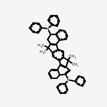 CC1(C)C2=C(C3=CC=CCC3C(N(c3ccccc3)c3ccccc3)=C2)c2cc3c(cc21)C1=C(CC(N(c2ccccc2)c2ccccc2)c2ccccc21)C3(C)C